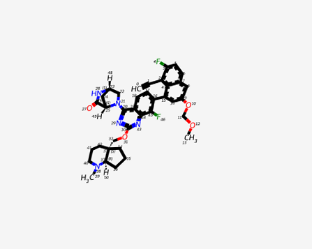 C#Cc1c(F)ccc2cc(OCOC)cc(-c3ccc4c(N5C[C@@H]6C[C@H]5C(=O)N6)nc(OC[C@]56CCC[C@H]5N(C)CCC6)nc4c3F)c12